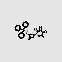 C=C1C[C@H](n2cc(C)c(=O)[nH]c2=O)O[C@@H]1COC(c1ccccc1)(c1ccccc1)c1ccccc1